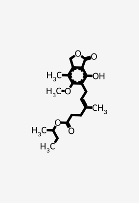 CCC(C)OC(=O)CC/C(C)=C/Cc1c(O)c2c(c(C)c1OC)COC2=O